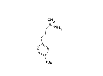 C=C(N)CCCc1ccc(C(C)(C)C)cc1